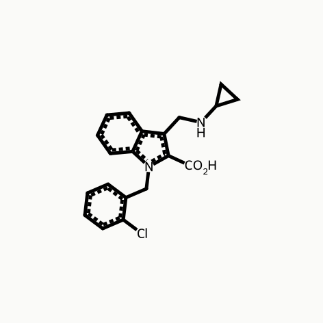 O=C(O)c1c(CNC2CC2)c2ccccc2n1Cc1ccccc1Cl